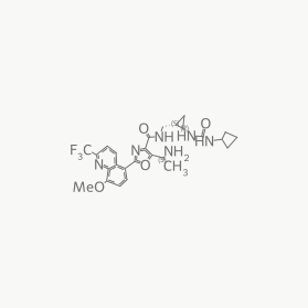 COc1ccc(-c2nc(C(=O)NC[C@@H]3C[C@H]3NC(=O)NC3CCC3)c([C@H](C)N)o2)c2ccc(C(F)(F)F)nc12